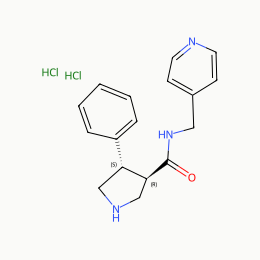 Cl.Cl.O=C(NCc1ccncc1)[C@H]1CNC[C@@H]1c1ccccc1